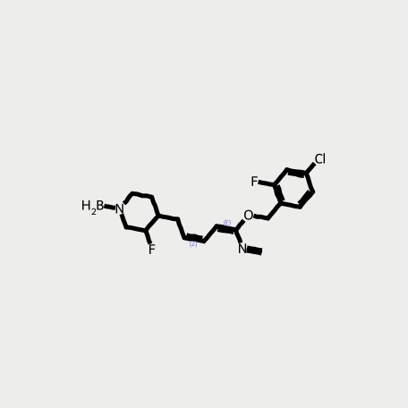 BN1CCC(C/C=C\C=C(/N=C)OCc2ccc(Cl)cc2F)C(F)C1